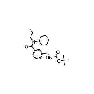 CCCN(C(=O)c1cccc(CNC(=O)OC(C)(C)C)c1)C1CCCCC1